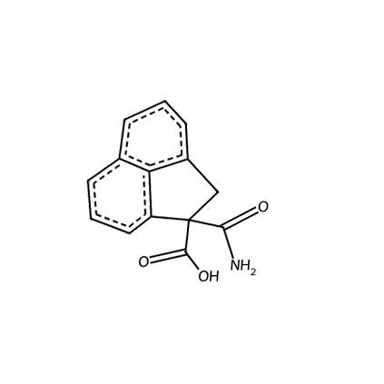 NC(=O)C1(C(=O)O)Cc2cccc3cccc1c23